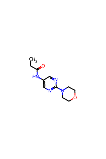 CCC(=O)Nc1cnc(N2CCOCC2)nc1